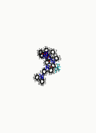 FC(F)(F)c1ccc(-c2cc(-c3nc(-c4ccccc4)nc(-c4ccccc4)n3)ccc2-n2c3ccccc3c3cc(-n4c5ccccc5c5ccccc54)ccc32)c(-n2c3ccccc3c3cc(-n4c5ccccc5c5ccccc54)ccc32)c1